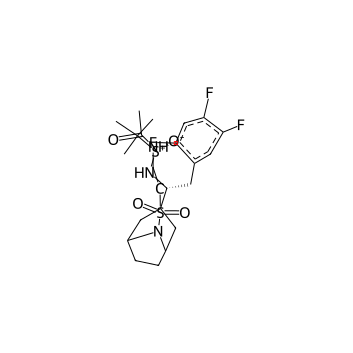 CC(=O)NCCS(=O)(=O)N1C2CCC1CC([C@@H](Cc1cc(F)c(F)cc1F)N[S@@+]([O-])C(C)(C)C)C2